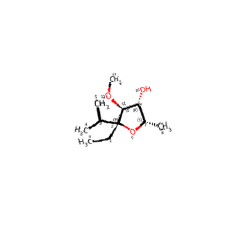 CC[C@]1(C(C)C)O[C@@H](C)[C@@H](O)[C@@H]1OC